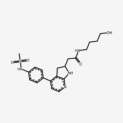 CS(=O)(=O)Nc1ccc(-c2ccnc3c2CC(CC(=O)NCCCCO)N3)cc1